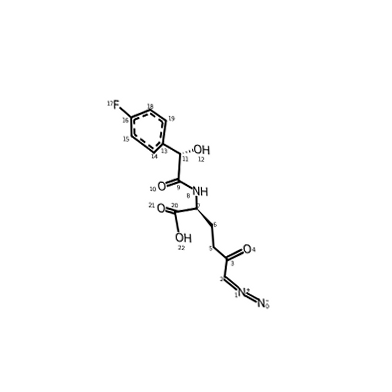 [N-]=[N+]=CC(=O)CC[C@H](NC(=O)[C@@H](O)c1ccc(F)cc1)C(=O)O